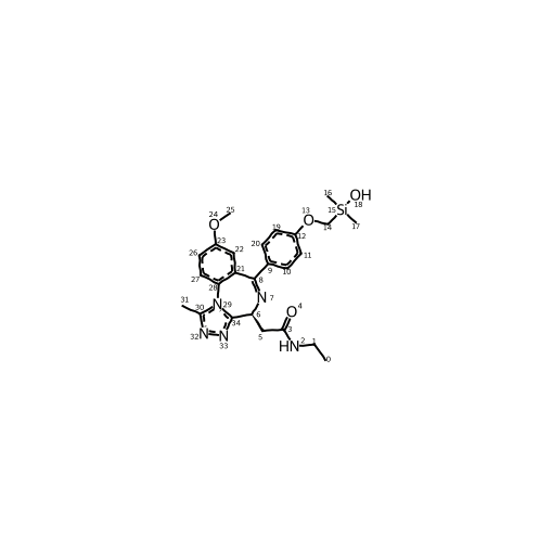 CCNC(=O)C[C@@H]1N=C(c2ccc(OC[Si](C)(C)O)cc2)c2cc(OC)ccc2-n2c(C)nnc21